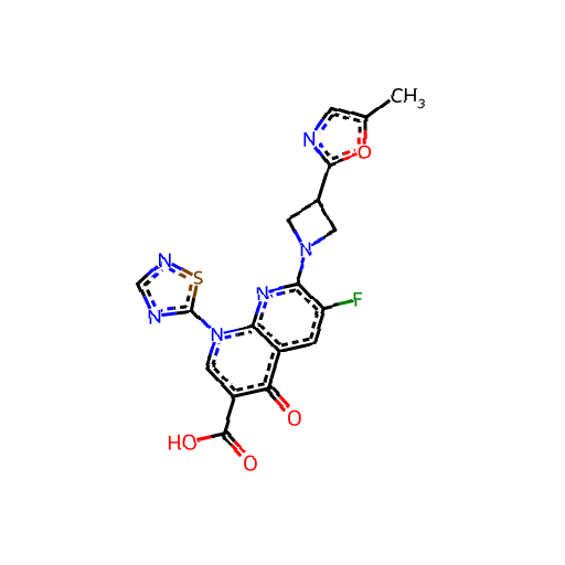 Cc1cnc(C2CN(c3nc4c(cc3F)c(=O)c(C(=O)O)cn4-c3ncns3)C2)o1